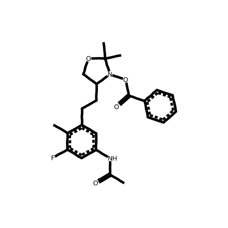 CC(=O)Nc1cc(F)c(C)c(CCC2COC(C)(C)N2OC(=O)c2ccccc2)c1